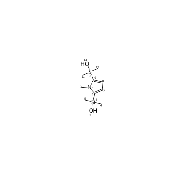 Cn1c([Si](C)(C)O)ccc1[Si](C)(C)O